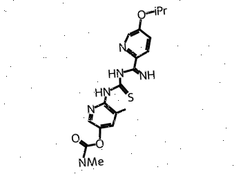 CNC(=O)Oc1cnc(NC(=S)NC(=N)c2ccc(OC(C)C)cn2)c(C)c1